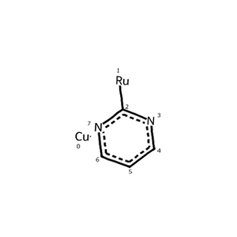 [Cu].[Ru][c]1ncccn1